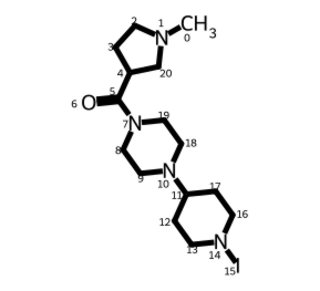 CN1CCC(C(=O)N2CCN(C3CCN(I)CC3)CC2)C1